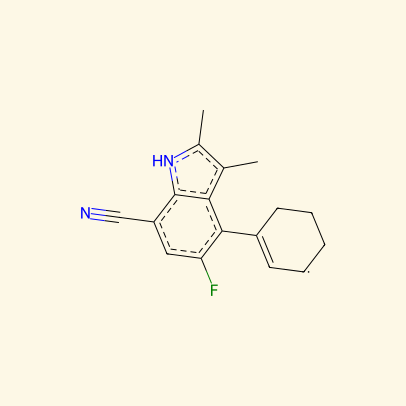 Cc1[nH]c2c(C#N)cc(F)c(C3=C[CH]CCC3)c2c1C